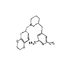 Cc1cc(CC2CCCN(Cc3ccc4c(c3)OCCO4)C2)cc(C)n1